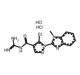 CCc1c(C(=O)NC(=N)N)cnn1-c1nc2ccccc2n1C.Cl.Cl